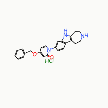 Cl.O=c1cc(OCc2ccccc2)ccn1-c1ccc2c3c([nH]c2c1)CCNCC3